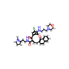 Cc1c2cc(F)c(NCCCN3CCOCC3)c1Oc1c(ccc3ccccc13)C/C=C(/C(=O)NCCC1CCCN1C)C2=O